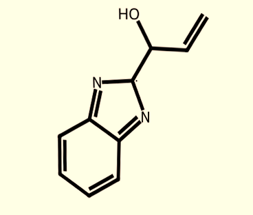 C=CC(O)[C]1N=c2ccccc2=N1